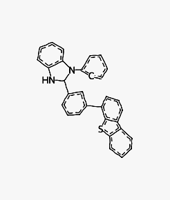 c1ccc(N2c3ccccc3NC2c2cccc(-c3cccc4c3sc3ccccc34)c2)cc1